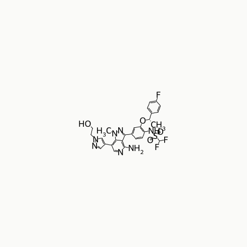 C[C@H](Oc1cc(-c2nn(C)c3c(-c4cnn(CCO)c4)cnc(N)c23)ccc1NS(=O)(=O)C(F)F)c1ccc(F)cc1